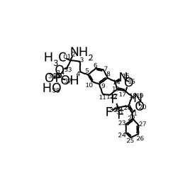 CC(N)(CCc1ccc2c(c1)CCc1c-2noc1-c1noc(-c2ccccc2)c1C(F)(F)F)COP(=O)(O)O